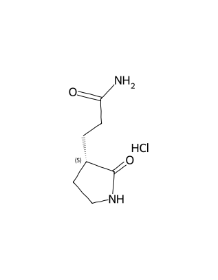 Cl.NC(=O)CC[C@H]1CCNC1=O